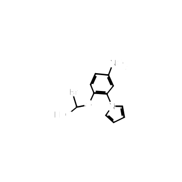 CC(Br)Oc1ccc([N+](=O)[O-])cc1-n1cccc1